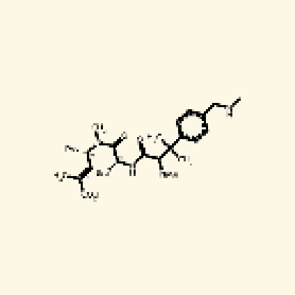 CNC(C(=O)N[C@H](C(=O)N(C)[C@H](/C=C(\C)C(=O)O)C(C)C)C(C)(C)C)C(C)(C)c1ccc(CNI)cc1